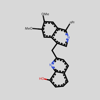 CCCc1ncc(Cc2ccc3cccc(O)c3n2)c2cc(OC)c(OC)cc12